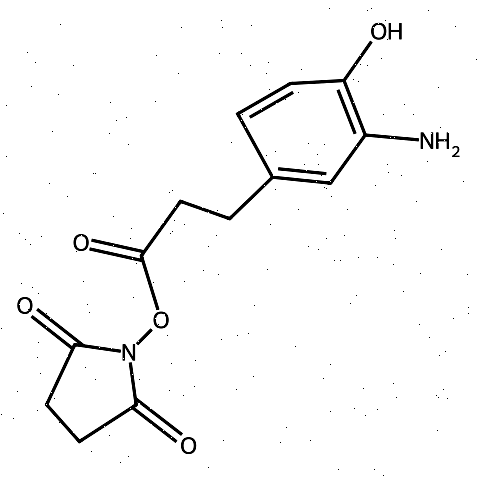 Nc1cc(CCC(=O)ON2C(=O)CCC2=O)ccc1O